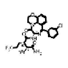 CCC[C@H](C(N)=O)[C@@H](CCC(F)(F)F)C(=O)N[C@H]1N=C(c2cccc(Cl)c2)c2cccc3c2N(CCO3)C1=O